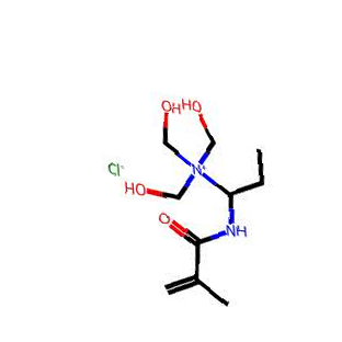 C=C(C)C(=O)NC(CC)[N+](CO)(CO)CO.[Cl-]